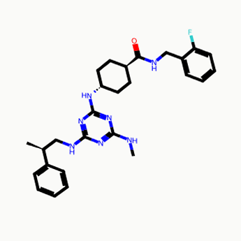 CNc1nc(NC[C@H](C)c2ccccc2)nc(N[C@H]2CC[C@H](C(=O)NCc3ccccc3F)CC2)n1